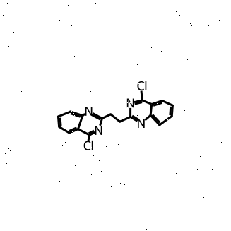 Clc1nc(CCc2nc(Cl)c3ccccc3n2)nc2ccccc12